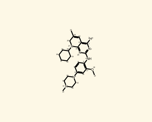 [2H]c1nc(Nc2ccc(N3CCN(C)CC3)cc2OC)nc2c1C=C(C)CN2C1CCCCC1